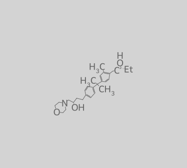 CC[C@@H](O)CCc1ccc(C(C)(C)c2ccc(CC[C@H](O)CN3CCOCC3)cc2)cc1C